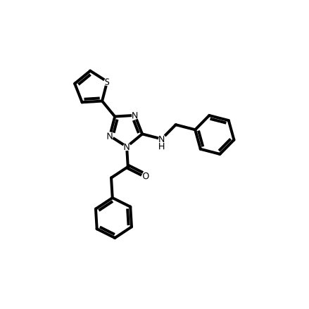 O=C(Cc1ccccc1)n1nc(-c2cccs2)nc1NCc1ccccc1